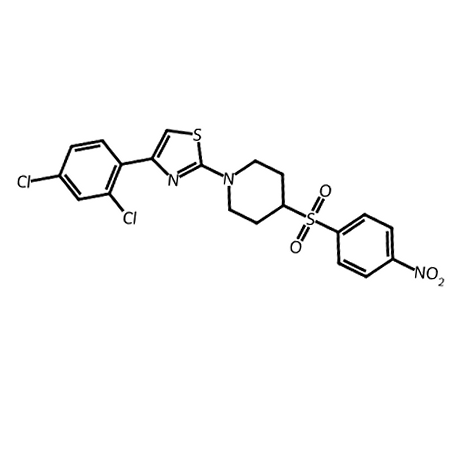 O=[N+]([O-])c1ccc(S(=O)(=O)C2CCN(c3nc(-c4ccc(Cl)cc4Cl)cs3)CC2)cc1